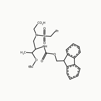 CC(C)CS(=O)(=O)N(CC(=O)O)CC(NC(=O)OCC1c2ccccc2-c2ccccc21)C(C)OC(C)(C)C